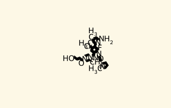 Cc1cc(N)nc(-c2c(Cl)cc3c(N4CCN(C(=O)/C=C/CO)C[C@@H]4C)nc(OC[C@@H]4CCCN4C)nc3c2F)c1C